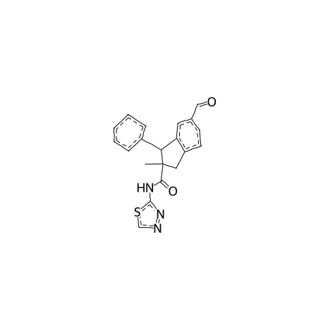 CC1(C(=O)Nc2nncs2)Cc2ccc(C=O)cc2C1c1ccccc1